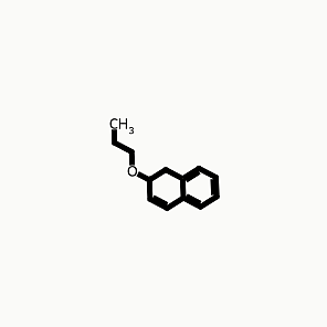 CCCO[C]1C=Cc2ccccc2C1